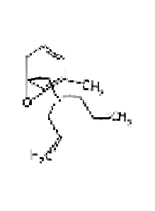 C=CCN(CC=C)CC12CC=CC(C)=C1O2